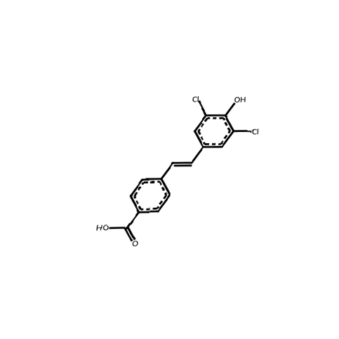 O=C(O)c1ccc(C=Cc2cc(Cl)c(O)c(Cl)c2)cc1